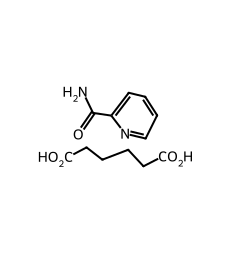 NC(=O)c1ccccn1.O=C(O)CCCCC(=O)O